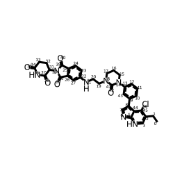 CCc1c[nH]c2ncc(-c3cccc(N4CCCN(CCNc5ccc6c(c5)C(=O)N(C5CCC(=O)NC5=O)C6=O)C4=O)c3)c-2c1Cl